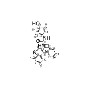 Cc1cc(C)c2ncc(NC(=O)Nc3cc(C)c(O)c(C)c3C)c(-c3ccccc3Cl)c2c1